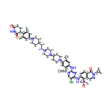 CCc1cc(Nc2ncc(Br)c(Nc3ccc4c(=O)n(C5CC5)ncc4c3P(C)(C)=O)n2)c(OC)cc1N1CCC(N2CCN(CCC3CCN(c4cc(F)c(C5CCC(=O)NC5=O)c(F)c4)CC3)CC2)CC1